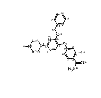 CN1CCN(c2ncc(Sc3ccc(C(N)=O)c(I)c3)c(OCc3ccccc3)n2)CC1